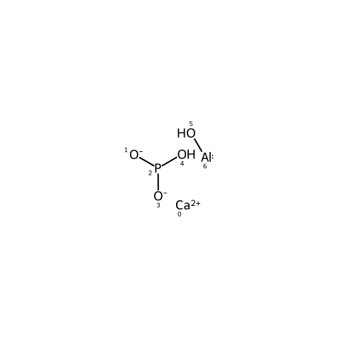 [Ca+2].[O-]P([O-])O.[OH][Al]